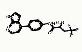 NC(CC(F)(F)F)C(=O)Nc1ccc(-c2ccnc3[nH]ccc23)cc1